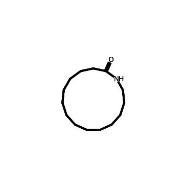 O=C1CCCCCCCCCCCCCN1